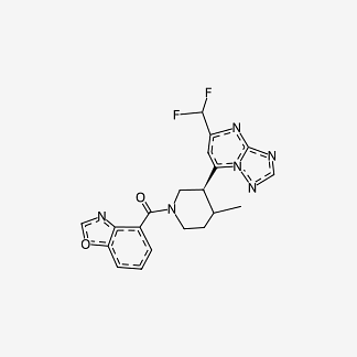 CC1CCN(C(=O)c2cccc3ocnc23)C[C@H]1c1cc(C(F)F)nc2ncnn12